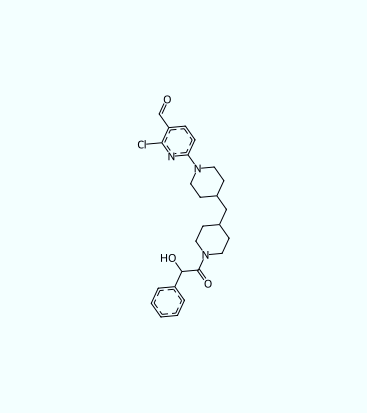 O=Cc1ccc(N2CCC(CC3CCN(C(=O)C(O)c4ccccc4)CC3)CC2)nc1Cl